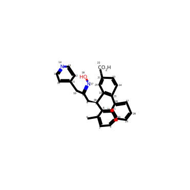 Cc1ccccc1[C@@H](CC(Cc1ccncc1)=NO)c1cc(C(=O)O)ccc1-c1ccccc1